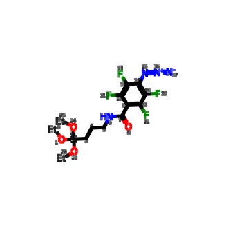 CCO[Si](CCCNC(=O)c1c(F)c(F)c(N=[N+]=[N-])c(F)c1F)(OCC)OCC